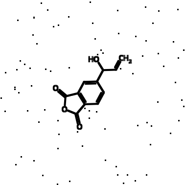 C=CC(O)c1ccc2c(c1)C(=O)OC2=O